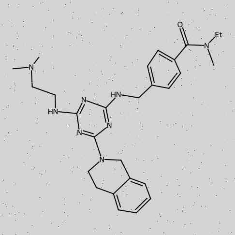 CCN(C)C(=O)c1ccc(CNc2nc(NCCN(C)C)nc(N3CCc4ccccc4C3)n2)cc1